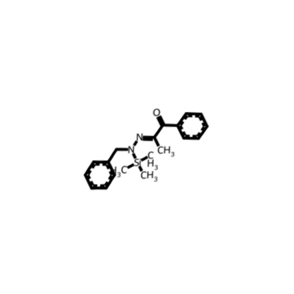 C/C(=N\N(Cc1ccccc1)[Si](C)(C)C)C(=O)c1ccccc1